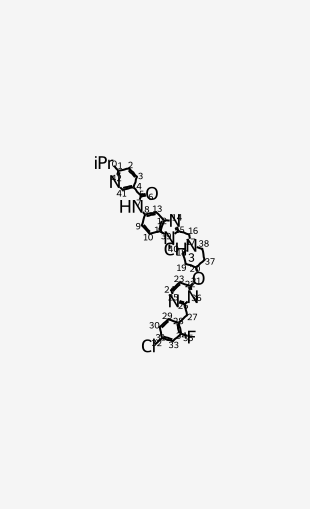 CC(C)c1ccc(C(=O)Nc2ccc3c(c2)nc(CN2CCC(Oc4ccnc(Cc5ccc(Cl)cc5F)n4)CC2)n3C)cn1